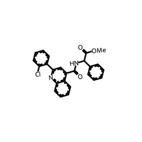 COC(=O)C(NC(=O)c1cc(-c2ccccc2Cl)nc2ccccc12)c1ccccc1